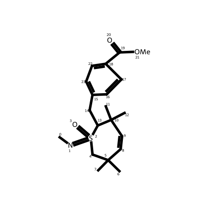 CN=S1(=O)CC(C)(C)C=CC(C)(C)C1Cc1ccc(C(=O)OC)cc1